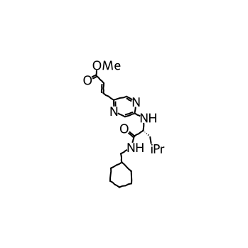 COC(=O)/C=C/c1cnc(N[C@H](CC(C)C)C(=O)NCC2CCCCC2)cn1